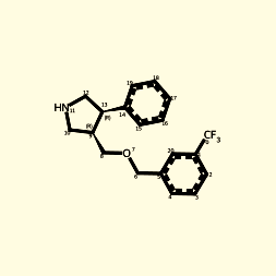 FC(F)(F)c1cccc(COC[C@H]2CNC[C@H]2c2ccccc2)c1